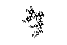 CC(C)(C)OC(=O)N1CC(CCc2c(F)cncc2NC(=O)C[C@H](c2ccc(C#N)cc2)c2ccc(F)c(F)c2)OCC1COC(=O)NCC(F)(F)F